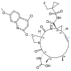 COc1ccc2c(Cl)cc(O[C@@H]3C[C@H]4C(=O)N[C@]5(C(=O)NS(=O)(=O)C6(CF)CC6)C[C@H]5/C=C\CC[C@@H](C)C[C@@H](C)[C@H](NC(=O)O)C(=O)N4C3)nc2c1